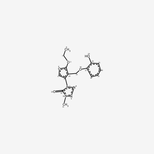 CCOc1occ(-n2nnn(C)c2=O)c1COc1ccccc1O